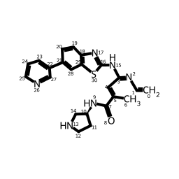 C=C/N=C(\C=C(/C)C(=O)N[C@H]1CCNC1)Nc1nc2ccc(-c3cccnc3)cc2s1